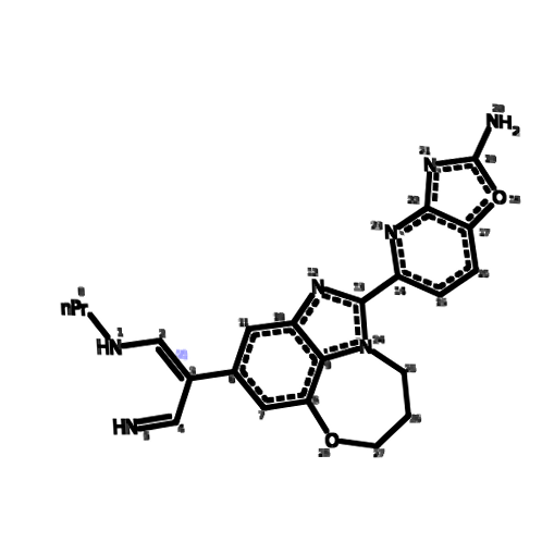 CCCN/C=C(\C=N)c1cc2c3c(c1)nc(-c1ccc4oc(N)nc4n1)n3CCCO2